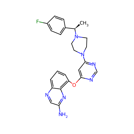 C[C@H](c1ccc(F)cc1)N1CCN(c2cc(Oc3cccc4ncc(N)nc34)ncn2)CC1